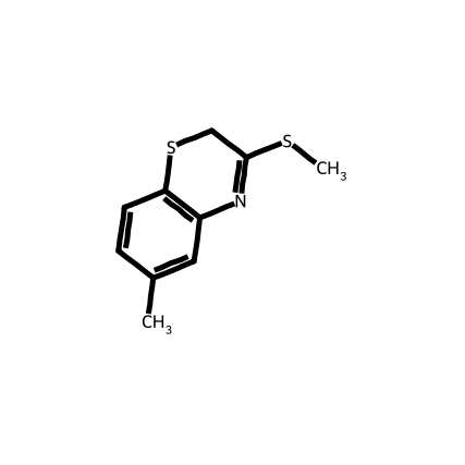 CSC1=Nc2cc(C)ccc2SC1